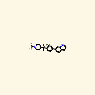 CCC(=O)N1CCC(C(C)(OC)c2ccc(-c3ccc4cccnc4c3)cc2)CC1